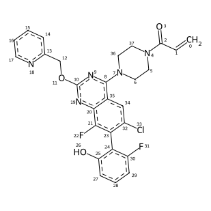 C=CC(=O)N1CCN(c2nc(OCc3ccccn3)nc3c(F)c(-c4c(O)cccc4F)c(Cl)cc23)CC1